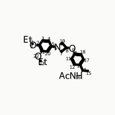 CCOc1ccc(N2CC(Oc3ccc([C@H](C)NC(C)=O)cc3)C2)cc1OCC